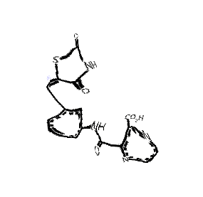 O=C1NC(=O)/C(=C\c2cccc(NC(=O)c3nccnc3C(=O)O)c2)S1